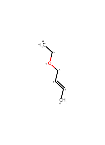 C[C]OCC=CC